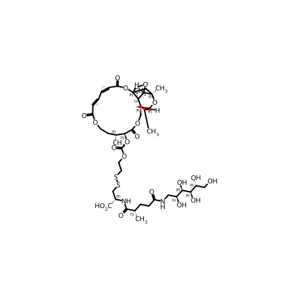 CC1=C[C@H]2O[C@]3(C)C[C@H]4OC(=O)/C=C\C=C\C(=O)OCC[C@@H](C)[C@H](OC(=O)OCCSSC[C@H](NC(=O)[C@@H](C)CCC(=O)NC[C@H](O)[C@@H](O)[C@H](O)[C@H](O)CO)C(=O)O)C(=O)OC[C@@]2(CC1)[C@]4(C)[C@]31CO1